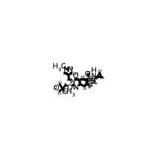 Cn1cc(Cn2c(OCC3(C)COC3)nc3cc(F)c(S(=O)(=O)NC4(C)CC4)cc3c2=O)cn1